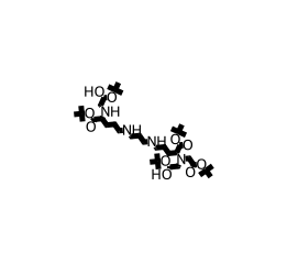 CC(C)(C)OC(=O)CN(CC(O)OC(C)(C)C)C(CCCNCCCNCCCC(NCC(O)OC(C)(C)C)C(=O)OC(C)(C)C)C(=O)OC(C)(C)C